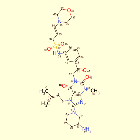 CC(C)=CCn1c(N2CCCC(N)C2)nc2c1c(=O)n(CC(=O)c1cccc(NS(=O)(=O)CC=CN3CCOCC3)c1)c(=O)n2C